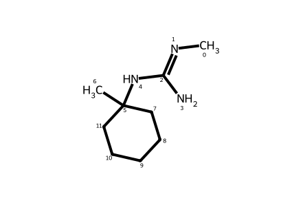 C/N=C(\N)NC1(C)CCCCC1